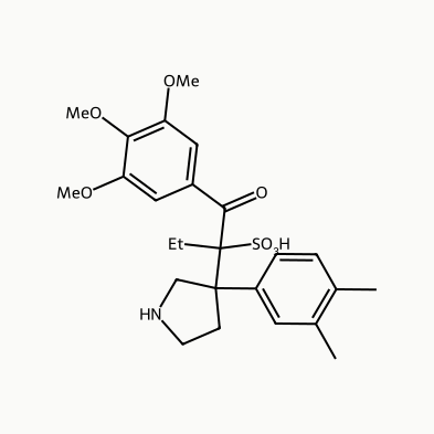 CCC(C(=O)c1cc(OC)c(OC)c(OC)c1)(C1(c2ccc(C)c(C)c2)CCNC1)S(=O)(=O)O